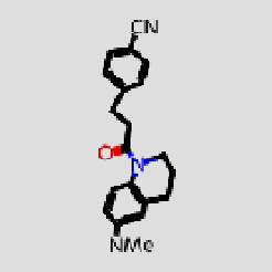 CNc1ccc2c(c1)CCCN2C(=O)CCc1ccc(C#N)cc1